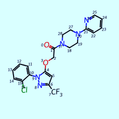 O=C(COc1cc(C(F)(F)F)nn1-c1ccccc1Cl)N1CCN(c2ccccn2)CC1